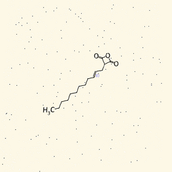 CCCCCCCCC/C=C/CC1C(=O)OC1=O